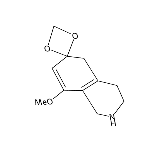 COC1=CC2(CC3=C1CNCC3)OCO2